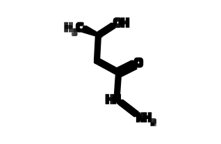 C[C@@H](O)CC(=O)NN